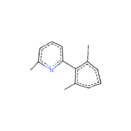 Cc1cccc(-c2c(C)cccc2C)n1